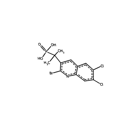 CC(C)(c1cc2cc(Cl)c(Cl)cc2nc1Br)P(=O)(O)O